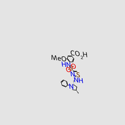 COc1cc(C(=O)O)ccc1NS(=O)(=O)c1csc(NC[C@@H]2C[C@@H](C)CN2c2ccccc2)n1